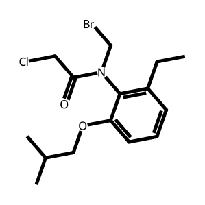 CCc1cccc(OCC(C)C)c1N(CBr)C(=O)CCl